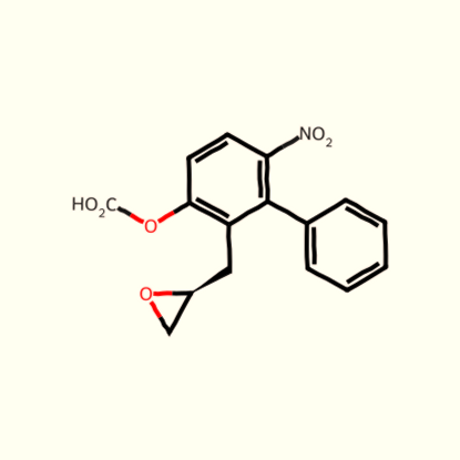 O=C(O)Oc1ccc([N+](=O)[O-])c(-c2ccccc2)c1C[C@H]1CO1